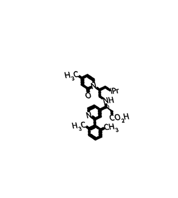 Cc1ccn(C(CN[C@@H](CC(=O)O)c2ccnc(-c3c(C)cccc3C)c2)CC(C)C)c(=O)c1